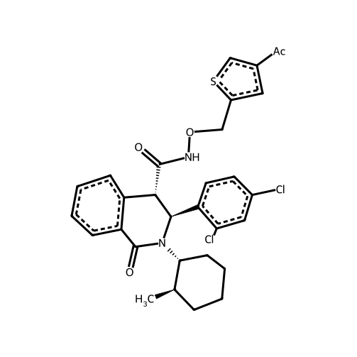 CC(=O)c1csc(CONC(=O)[C@H]2c3ccccc3C(=O)N([C@@H]3CCCC[C@H]3C)[C@@H]2c2ccc(Cl)cc2Cl)c1